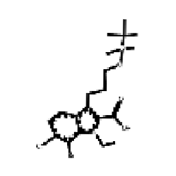 CCn1c(C(=O)O)c(CCCO[Si](C)(C)C(C)(C)C)c2ccc(Cl)c(Br)c21